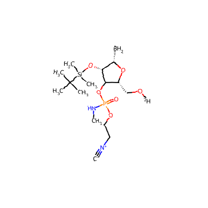 [2H]OC[C@H]1O[C@@H](B)[C@@H](O[Si](C)(C)C(C)(C)C)C1OP(=O)(NC)OCC[N+]#[C-]